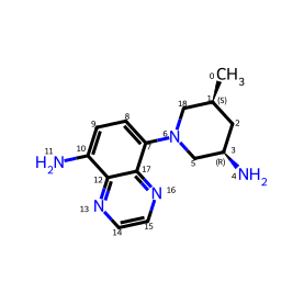 C[C@H]1C[C@@H](N)CN(c2ccc(N)c3nccnc23)C1